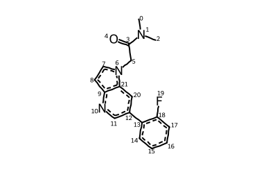 CN(C)C(=O)Cn1ccc2ncc(-c3ccccc3F)cc21